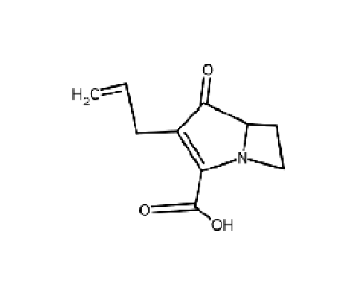 C=CCC1=C(C(=O)O)N2CCC2C1=O